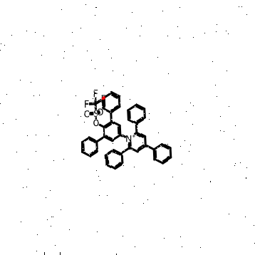 O=S(=O)(Oc1c(-c2ccccc2)cc(-[n+]2c(-c3ccccc3)cc(-c3ccccc3)cc2-c2ccccc2)cc1-c1ccccc1)C(F)(F)F